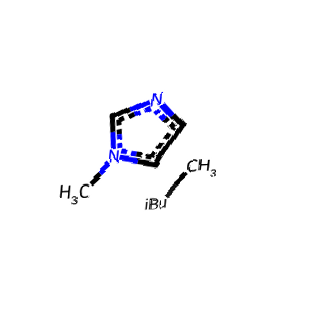 CCC(C)C.Cn1ccnc1